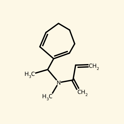 C=CC(=C)N(C)C(C)C1=CCCCC=C1